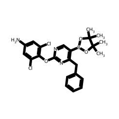 CC1(C)OB(c2cnc(Oc3c(Cl)cc(N)cc3Cl)nc2Cc2ccccc2)OC1(C)C